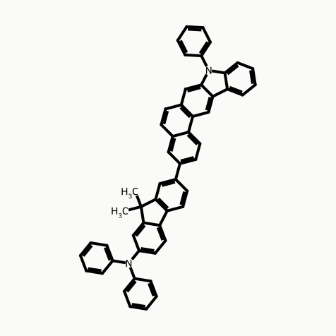 CC1(C)c2cc(-c3ccc4c(ccc5cc6c(cc54)c4ccccc4n6-c4ccccc4)c3)ccc2-c2ccc(N(c3ccccc3)c3ccccc3)cc21